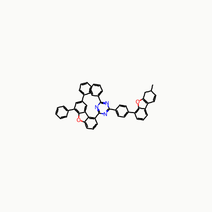 CC1C=Cc2c(oc3c(-c4ccc(-c5nc(-c6ccccc6)nc(-c6cccc7oc8c(-c9ccccc9)cc(-c9ccccc9)cc8c67)n5)cc4)cccc23)C1